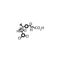 CC1(C)NC(c2cc(Cl)cc(Cl)c2)C(=O)N1C(c1ccc(C(=O)NCCC(=O)O)cc1)C1CC1